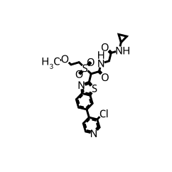 COCCS(=O)(=O)C(C(=O)NCC(=O)NC1CC1)c1nc2ccc(-c3ccncc3Cl)cc2s1